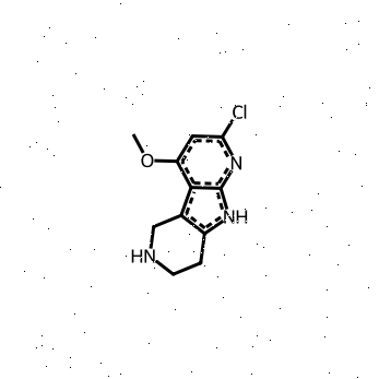 COc1cc(Cl)nc2[nH]c3c(c12)CNCC3